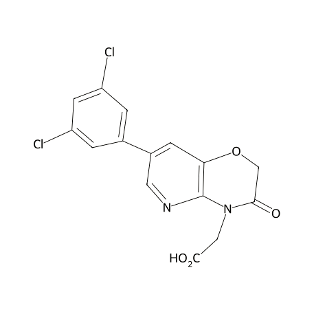 O=C(O)CN1C(=O)COc2cc(-c3cc(Cl)cc(Cl)c3)cnc21